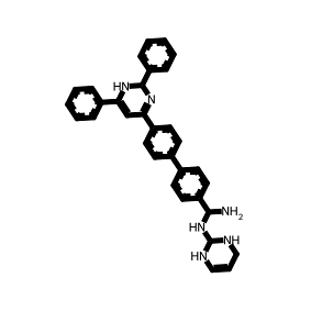 NC(NC1NC=CCN1)c1ccc(-c2ccc(C3=NC(c4ccccc4)NC(c4ccccc4)=C3)cc2)cc1